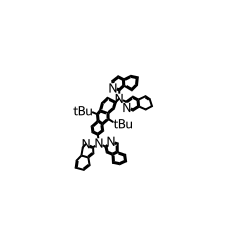 CC(C)(C)c1c2ccc(N(C3=NCC4C=CC=CC4=C3)c3cc4ccccc4cn3)cc2c(C(C)(C)C)c2cc(N(c3cc4c(cn3)CCC=C4)c3nccc4ccccc34)ccc12